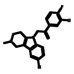 C=C(Cn1c2c(c3cc(Cl)ccc31)CN(C)CC2)c1ccc(F)c(Cl)c1